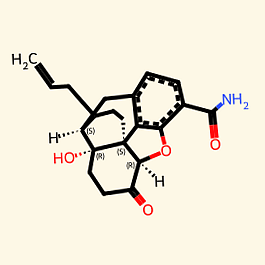 C=CCC1CC[C@]23c4c5ccc(C(N)=O)c4O[C@H]2C(=O)CC[C@@]3(O)[C@H]1C5